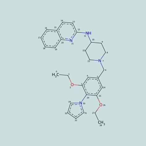 CCOc1cc(CN2CCC(Nc3ccc4ccccc4n3)CC2)cc(OCC)c1-n1cccc1